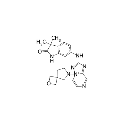 CC1(C)C(=O)Nc2cc(NC3=N[N+]4(N5CCC6(COC6)C5)C=CN=CC4=N3)ccc21